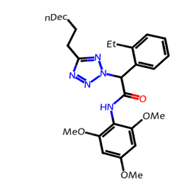 CCCCCCCCCCCCc1nnn(C(C(=O)Nc2c(OC)cc(OC)cc2OC)c2ccccc2CC)n1